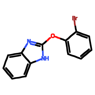 Brc1ccccc1Oc1nc2ccccc2[nH]1